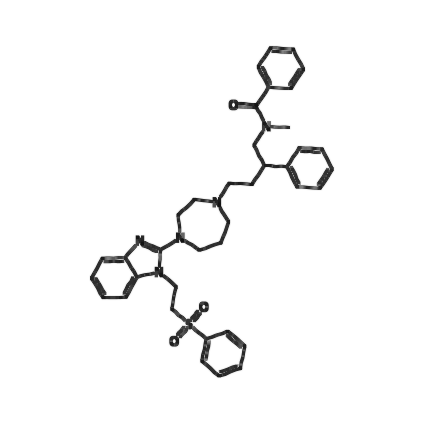 CN(CC(CCN1CCCN(c2nc3ccccc3n2CCS(=O)(=O)c2ccccc2)CC1)c1ccccc1)C(=O)c1ccccc1